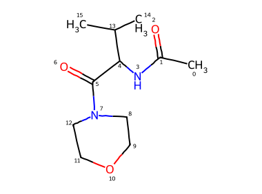 CC(=O)NC(C(=O)N1CCOCC1)C(C)C